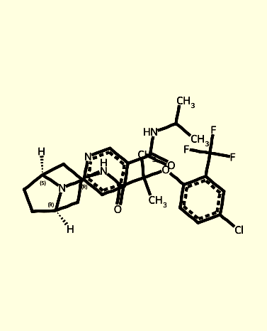 CC(C)NC(=O)c1ccc(N2[C@@H]3CC[C@H]2C[C@@H](NC(=O)C(C)(C)Oc2ccc(Cl)cc2C(F)(F)F)C3)nc1